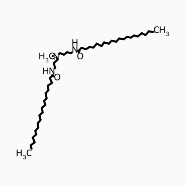 CCCCCCCCCCCCCCCCCCCCCC(=O)NCCCCN(C)CCCNC(=O)CCCCCCCCCCCCCCCCCCCCC